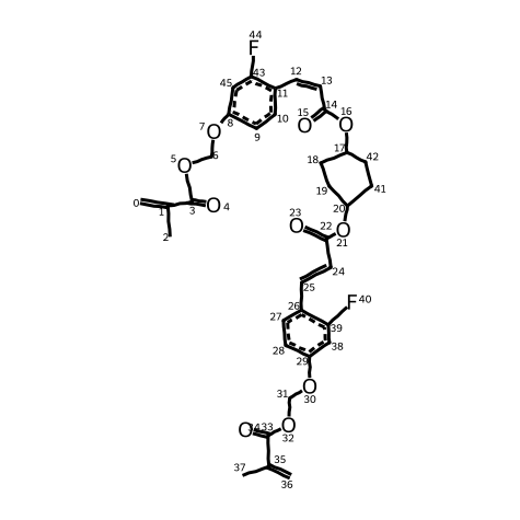 C=C(C)C(=O)OCOc1ccc(/C=C\C(=O)OC2CCC(OC(=O)/C=C/c3ccc(OCOC(=O)C(=C)C)cc3F)CC2)c(F)c1